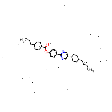 CCCC[C@H]1CC[C@H](c2cnc(-c3ccc(OC(=O)C4CCC(CCC)CC4)cc3)nc2)CC1